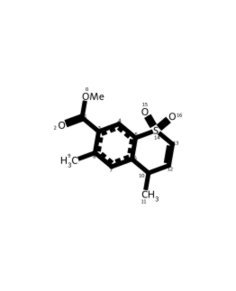 COC(=O)c1cc2c(cc1C)C(C)C=CS2(=O)=O